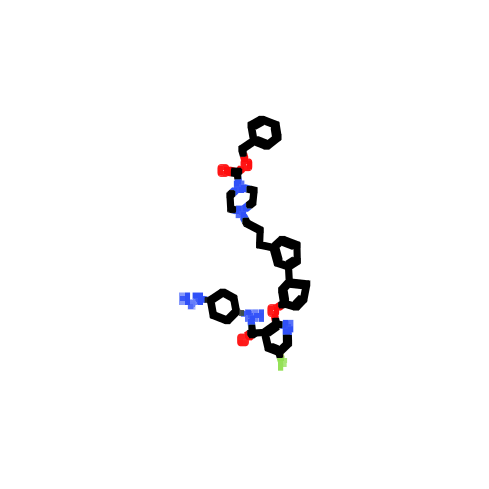 N[C@H]1CC[C@H](NC(=O)c2cc(F)cnc2Oc2cccc(-c3cccc(CCCN4CCN(C(=O)OCc5ccccc5)CC4)c3)c2)CC1